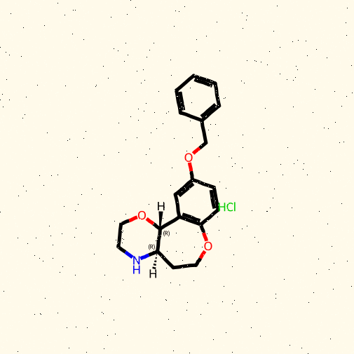 Cl.c1ccc(COc2ccc3c(c2)[C@H]2OCCN[C@@H]2CCO3)cc1